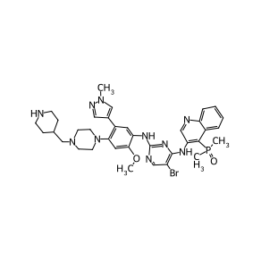 COc1cc(N2CCN(CC3CCNCC3)CC2)c(-c2cnn(C)c2)cc1Nc1ncc(Br)c(Nc2cnc3ccccc3c2P(C)(C)=O)n1